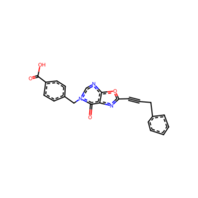 O=C(O)c1ccc(Cn2cnc3oc(C#CCc4ccccc4)nc3c2=O)cc1